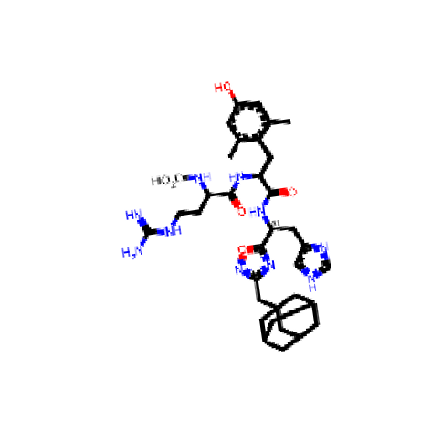 Cc1cc(O)cc(C)c1CC(NC(=O)C(CCNC(=N)N)NC(=O)O)C(=O)N[C@@H](Cc1c[nH]cn1)c1nc(CC23CC4CC(CC(C4)C2)C3)no1